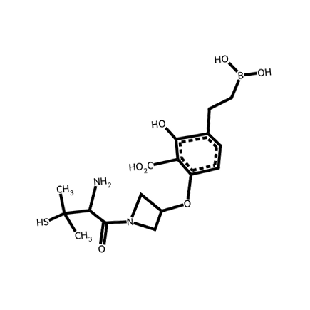 CC(C)(S)C(N)C(=O)N1CC(Oc2ccc(CCB(O)O)c(O)c2C(=O)O)C1